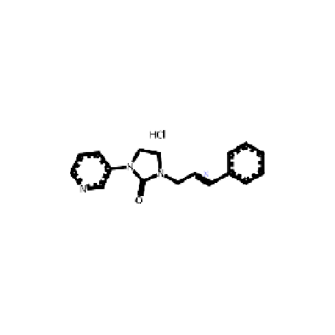 Cl.O=C1N(C/C=C/c2ccccc2)CCN1c1cccnc1